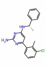 Cc1c(Cl)cccc1-c1cc(N[C@@H](C)c2ccccc2)nc(N)n1